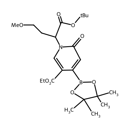 CCOC(=O)c1cn(C(CCOC)C(=O)OC(C)(C)C)c(=O)cc1B1OC(C)(C)C(C)(C)O1